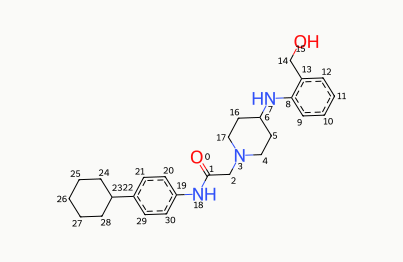 O=C(CN1CCC(Nc2ccccc2CO)CC1)Nc1ccc(C2CCCCC2)cc1